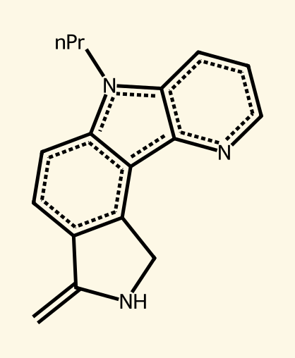 C=C1NCc2c1ccc1c2c2ncccc2n1CCC